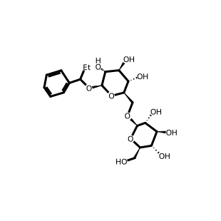 CCC(O[C@@H]1O[C@H](CO[C@@H]2O[C@H](CO)[C@@H](O)[C@H](O)[C@H]2O)[C@@H](O)[C@H](O)[C@H]1O)c1ccccc1